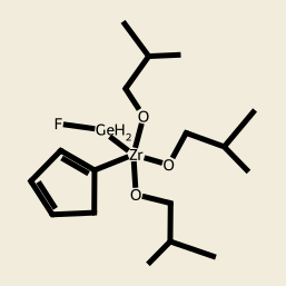 CC(C)C[O][Zr]([O]CC(C)C)([O]CC(C)C)([GeH2][F])[C]1=CC=CC1